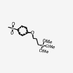 CO[Si](CCCOc1ccc(S(C)(=O)=O)cc1)(OC)OC